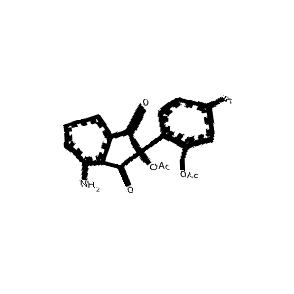 CC(=O)Oc1cc(C(C)C)ccc1C1(OC(C)=O)C(=O)c2cccc(N)c2C1=O